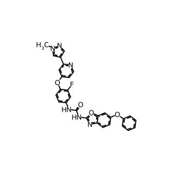 Cn1cc(-c2cc(Oc3ccc(NC(=O)Nc4nc5ccc(Oc6ccccc6)cc5o4)cc3F)ccn2)cn1